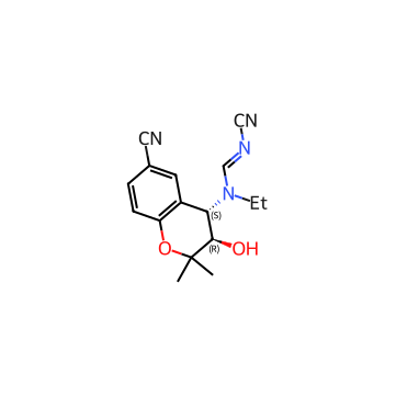 CCN(C=NC#N)[C@H]1c2cc(C#N)ccc2OC(C)(C)[C@@H]1O